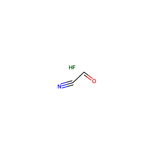 F.N#CC=O